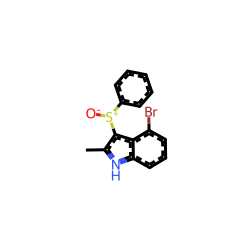 Cc1[nH]c2cccc(Br)c2c1[S+]([O-])c1ccccc1